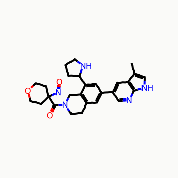 Cc1c[nH]c2ncc(-c3cc4c(c(C5CCCN5)c3)CN(C(=O)C3(N=O)CCOCC3)CC4)cc12